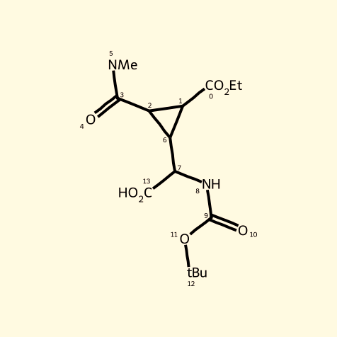 CCOC(=O)C1C(C(=O)NC)C1C(NC(=O)OC(C)(C)C)C(=O)O